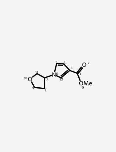 COC(=O)c1ccn(C2CCOC2)c1